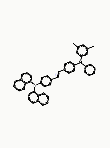 Cc1cc(C)cc(N(c2ccccc2)c2ccc(/C=C/c3ccc(N(c4cccc5ccccc45)c4cccc5ccccc45)cc3)cc2)c1